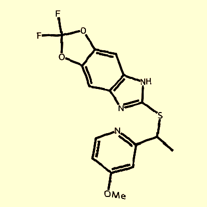 COc1ccnc(C(C)Sc2nc3cc4c(cc3[nH]2)OC(F)(F)O4)c1